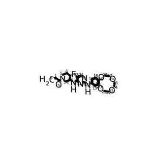 C=CC(=O)N1CCC[C@@H](Nc2nc(Nc3ccc4c(c3)OCCOCCOCCO4)ncc2F)C1